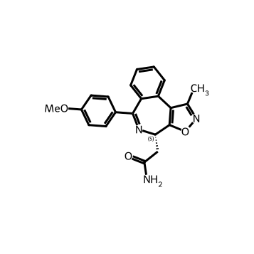 COc1ccc(C2=N[C@@H](CC(N)=O)c3onc(C)c3-c3ccccc32)cc1